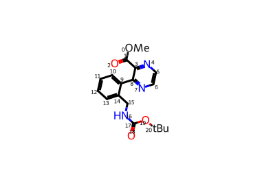 COC(=O)c1nccnc1-c1ccccc1CNC(=O)OC(C)(C)C